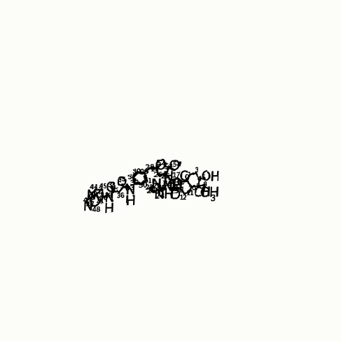 C[C@]12CC[C@@H](O)[C@@](C)(CO)C1CCC1(CO1)C2CC(Nc1ncc[nH]1)C1=C/C(=C\c2ccc(NC(=O)CC(=O)NC3C4CN5CC3CN(C4)C5)cc2)OC1=O